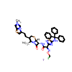 Cn1cc2scc(C=CC3=C(C(=O)O)N4C(=O)[C@@H](NC(=O)/C(=N\OCF)c5nsc(NC(c6ccccc6)(c6ccccc6)c6ccccc6)n5)[C@H]4SC3)[n+]2c1.[I-]